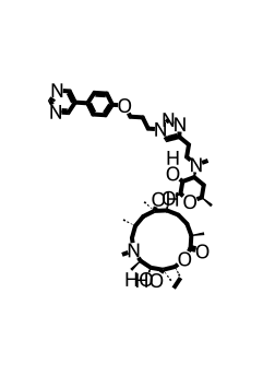 CC[C@H]1OC(=O)[C@H](C)CC[C@@H](O[C@@H]2O[C@H](C)C[C@H](N(C)CCc3cn(CCCOc4ccc(-c5cncnc5)cc4)nn3)C2O)[C@](C)(O)C[C@@H](C)CN(C)[C@H](C)[C@@H](O)[C@]1(C)O